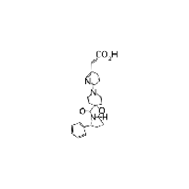 O=C(O)/C=C/c1ccc(N2CCC3(CC2)O[C@@H]2CC[C@@H](c4ccccc4)N2C3=O)nc1